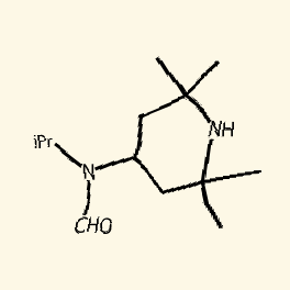 CC(C)N(C=O)C1CC(C)(C)NC(C)(C)C1